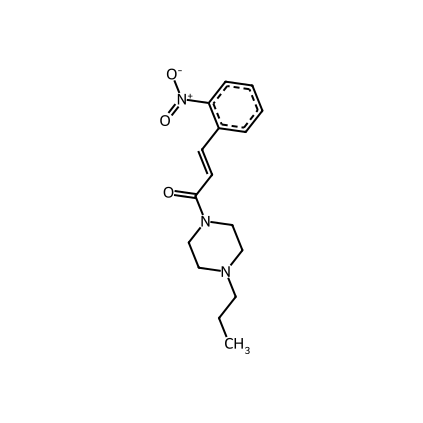 CCCN1CCN(C(=O)/C=C/c2ccccc2[N+](=O)[O-])CC1